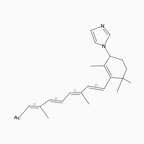 CC(=O)/C=C(C)/C=C/C=C(C)/C=C/C1=C(C)C(n2ccnc2)CCC1(C)C